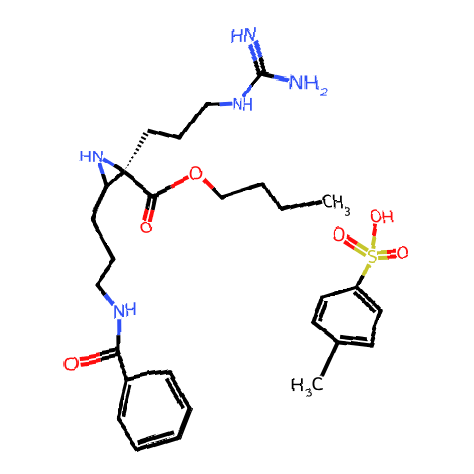 CCCCOC(=O)[C@]1(CCCNC(=N)N)NC1CCCNC(=O)c1ccccc1.Cc1ccc(S(=O)(=O)O)cc1